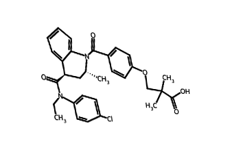 CCN(C(=O)[C@@H]1C[C@@H](C)N(C(=O)c2ccc(OCC(C)(C)C(=O)O)cc2)c2ccccc21)c1ccc(Cl)cc1